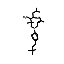 CC(C)=CCN(CC(C)(C)C(N)C(N)CC(C)C)c1ccc(CCC(C)(C)C)cc1